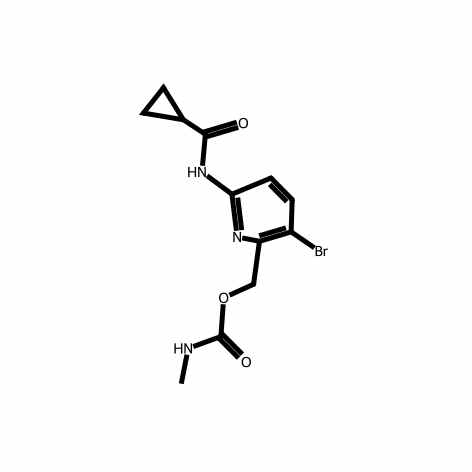 CNC(=O)OCc1nc(NC(=O)C2CC2)ccc1Br